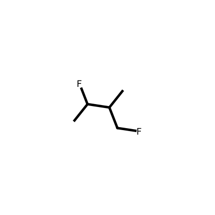 CC(F)C(C)CF